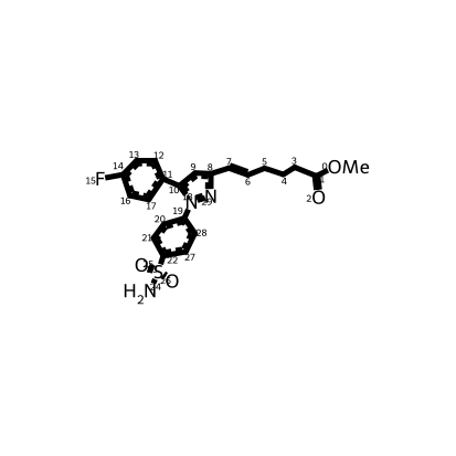 COC(=O)CCCC=Cc1cc(-c2ccc(F)cc2)n(-c2ccc(S(N)(=O)=O)cc2)n1